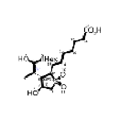 CCCCCC/C(O)=C(/C)[C@H]1[C@H](O)CS(=O)(=O)[C@@H]1CCCCCCC(=O)O